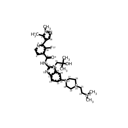 Cc1c(-c2nccc(C(=O)Nc3nc4ccc(N5CCN(CCN(C)C)CC5)cc4n3CC(C)(C)O)c2F)cnn1C